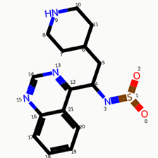 O=S(=O)=NC(CC1CCNCC1)c1ncnc2ccccc12